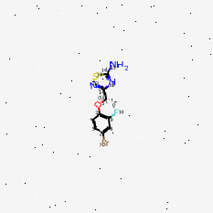 C[C@H](Oc1ccc(Br)cc1F)c1nsc(N)n1